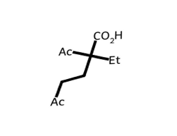 CCC(CCC(C)=O)(C(C)=O)C(=O)O